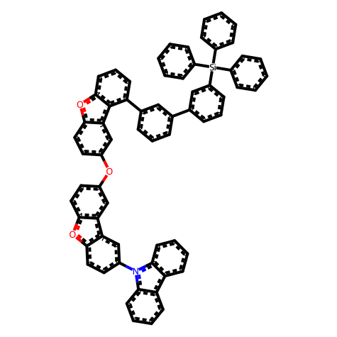 c1ccc([Si](c2ccccc2)(c2ccccc2)c2cccc(-c3cccc(-c4cccc5oc6ccc(Oc7ccc8oc9ccc(-n%10c%11ccccc%11c%11ccccc%11%10)cc9c8c7)cc6c45)c3)c2)cc1